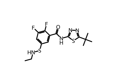 CCNSc1cc(F)c(F)c(C(=O)Nc2nnc(C(C)(C)C)s2)c1